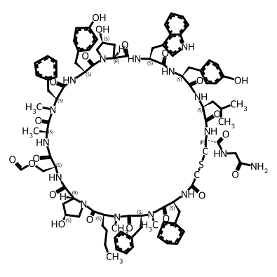 CCCC[C@H]1C(=O)N2C[C@@H](O)C[C@@H]2C(=O)N[C@@H](COC=O)C(=O)N[C@@H](C)C(=O)N(C)[C@@H](Cc2ccccc2)C(=O)N[C@@H](Cc2ccc(O)cc2)C(=O)N2C[C@@H](O)C[C@@H]2C(=O)N[C@@H](Cc2c[nH]c3ccccc23)C(=O)N[C@@H](Cc2ccc(O)cc2)C(=O)N[C@@H](CC(C)C)C(=O)N[C@H](C(=O)NCC(N)=O)CSCC(=O)N[C@@H](Cc2ccccc2)C(=O)N(C)[C@@H](Cc2ccccc2)C(=O)N1C